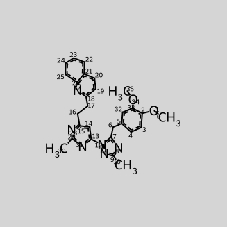 COc1ccc(Cc2nc(C)nn2-c2cc(CCc3ccc4ccccc4n3)nc(C)n2)cc1OC